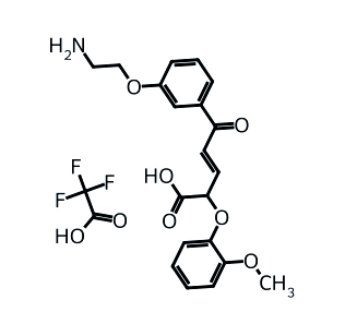 COc1ccccc1OC(C=CC(=O)c1cccc(OCCN)c1)C(=O)O.O=C(O)C(F)(F)F